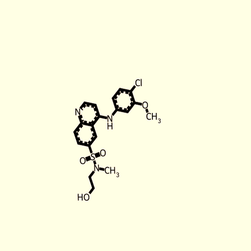 COc1cc(Nc2ccnc3ccc(S(=O)(=O)N(C)CCO)cc23)ccc1Cl